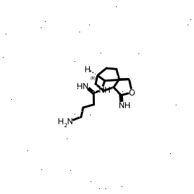 N=C(CCCN)NC1C2OC(=N)C3CC[C@H]1CCC32